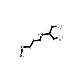 CCOCCCNC(CO)CO